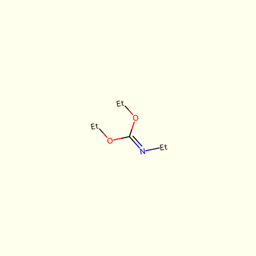 CCN=C(OCC)OCC